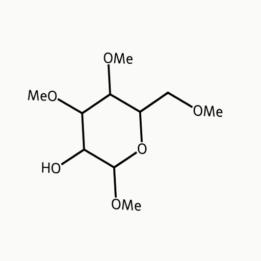 COCC1OC(OC)C(O)C(OC)C1OC